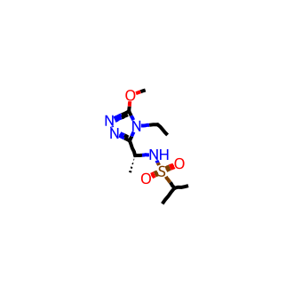 CCn1c(OC)nnc1[C@@H](C)NS(=O)(=O)C(C)C